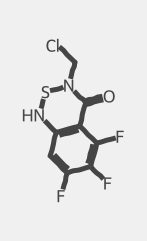 O=C1c2c(cc(F)c(F)c2F)NSN1CCl